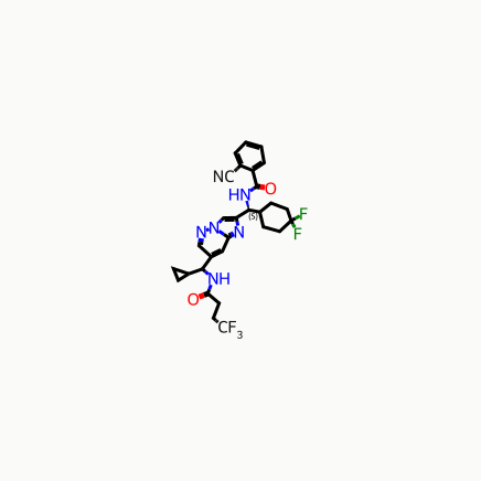 N#Cc1ccccc1C(=O)N[C@H](c1cn2ncc(C(NC(=O)CCC(F)(F)F)C3CC3)cc2n1)C1CCC(F)(F)CC1